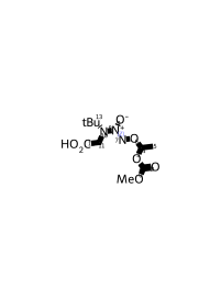 COC(=O)OC(C)O/N=[N+](\[O-])N(CC(=O)O)C(C)(C)C